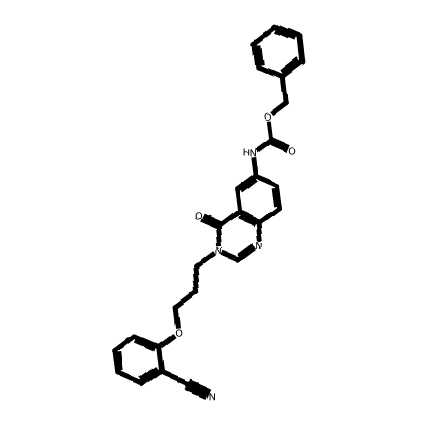 N#Cc1ccccc1OCCCn1cnc2ccc(NC(=O)OCc3ccccc3)cc2c1=O